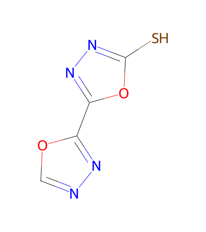 Sc1nnc(-c2nnco2)o1